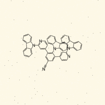 N#Cc1cc(-c2ccnc(-n3c4ccccc4c4ccccc43)c2)c(-n2c3ccccc3c3ccccc32)c(-c2ccnc(-n3c4ccccc4c4ccccc43)c2)c1